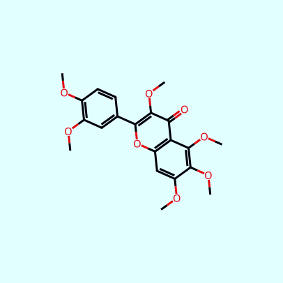 COc1ccc(-c2oc3cc(OC)c(OC)c(OC)c3c(=O)c2OC)cc1OC